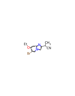 CCOc1cc2nc(C(C)C#N)cn2cc1Br